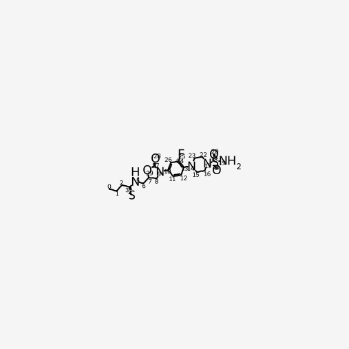 CCCC(=S)NCC1CN(c2ccc(N3CCN(S(N)(=O)=O)CC3)c(F)c2)C(=O)O1